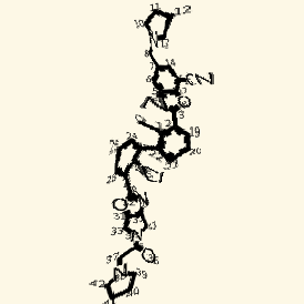 Cc1c(-c2nc3cc(CN4CCCC4)cc(C#N)c3o2)cccc1-c1cccc(-c2nc3c(o2)CN(C(=O)CN2CCCC2)C3)c1Cl